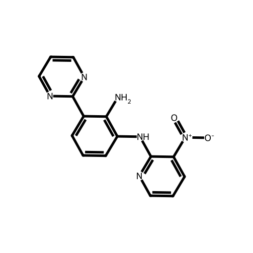 Nc1c(Nc2ncccc2[N+](=O)[O-])cccc1-c1ncccn1